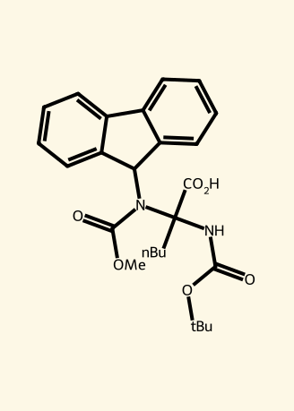 CCCCC(NC(=O)OC(C)(C)C)(C(=O)O)N(C(=O)OC)C1c2ccccc2-c2ccccc21